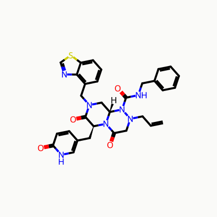 C=CCN1CC(=O)N2[C@@H](Cc3ccc(=O)[nH]c3)C(=O)N(Cc3cccc4scnc34)C[C@@H]2N1C(=O)NCc1ccccc1